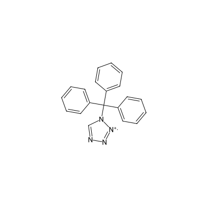 C1=NN=[N+]N1C(c1ccccc1)(c1ccccc1)c1ccccc1